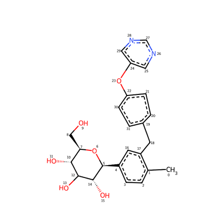 Cc1ccc([C@@H]2O[C@H](CO)[C@@H](O)C(O)[C@H]2O)cc1Cc1ccc(Oc2cncnc2)cc1